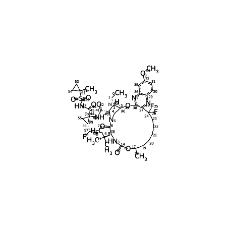 CC[C@@H]1[C@@H]2CN(C(=O)[C@H](C(C)(C)C)NC(=O)OC(C)CCCCCC(F)(F)c3nc4ccc(OC)cc4nc3O2)[C@@H]1C(=O)N[C@]1(C(=O)NS(=O)(=O)C2(C)CC2)C[C@H]1C(F)F